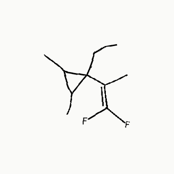 CCC1(C(C)=C(F)F)C(C)C1C